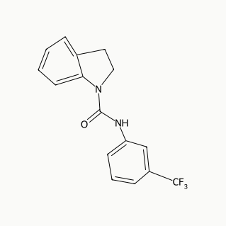 O=C(Nc1cccc(C(F)(F)F)c1)N1CCc2ccccc21